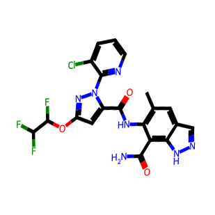 Cc1cc2cn[nH]c2c(C(N)=O)c1NC(=O)c1cc(OC(F)C(F)F)nn1-c1ncccc1Cl